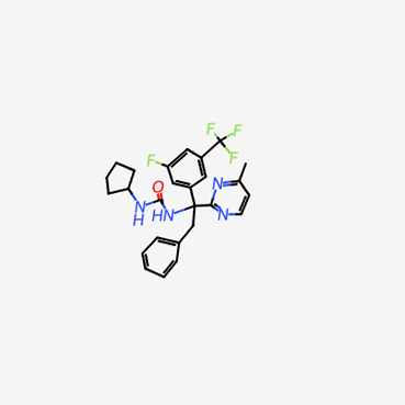 Cc1ccnc(C(Cc2ccccc2)(NC(=O)NC2CCCC2)c2cc(F)cc(C(F)(F)F)c2)n1